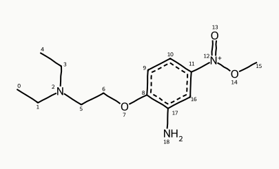 CCN(CC)CCOc1ccc([N+](=O)OC)cc1N